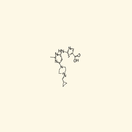 Cc1nc(Nc2ncc(C(=O)O)s2)cc(N2CCN(N=CC3CC3)CC2)n1